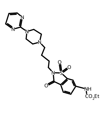 CCOC(=O)Nc1ccc2c(c1)S(=O)(=O)N(CCCCN1CCN(c3ncccn3)CC1)C2=O